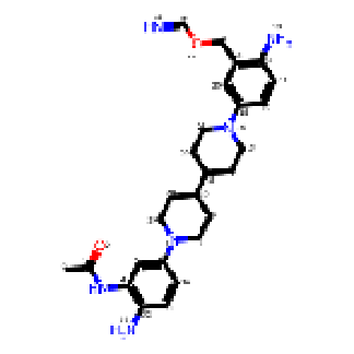 CC(=O)Nc1cc(N2CCC(C3CCN(c4ccc(N)c(COC=N)c4)CC3)CC2)ccc1N